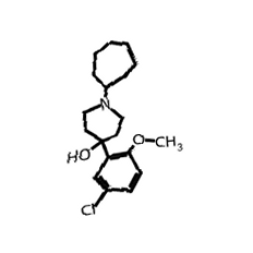 COc1ccc(Cl)cc1C1(O)CCN(C2CCCCCC2)CC1